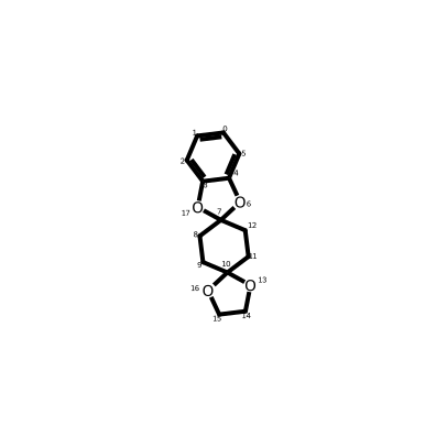 c1ccc2c(c1)OC1(CCC3(CC1)OCCO3)O2